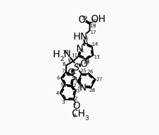 COc1ccc2cc(CC(N)(c3cccc(NCC(=O)O)n3)S(=O)(=O)c3cccnc3)sc2c1